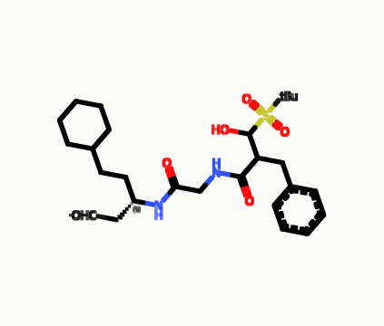 CC(C)(C)S(=O)(=O)C(O)C(Cc1ccccc1)C(=O)NCC(=O)N[C@H](C[C]=O)CCC1CCCCC1